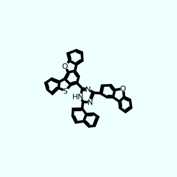 c1ccc2c(C3N=C(c4ccc5oc6ccccc6c5c4)N=C(c4cc5c6ccccc6oc5c5c4sc4ccccc45)N3)cccc2c1